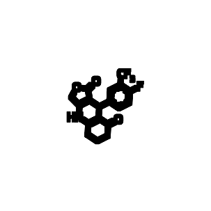 O=C1CCCC2=C1C(c1ccc(F)c(C(F)(F)F)c1)C1=C(COC1=O)N2